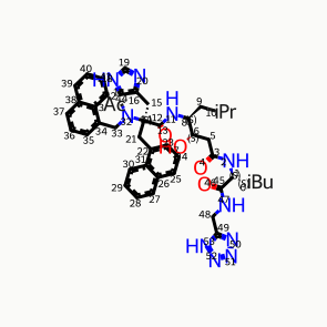 CC[C@H](C)[C@H](NC(=O)C[C@H](O)[C@H](CC(C)C)NC(=O)[C@@](Cc1c[nH]cn1)(Cc1cccc2ccccc12)N(Cc1cccc2ccccc12)C(C)=O)C(=O)NCc1nnn[nH]1